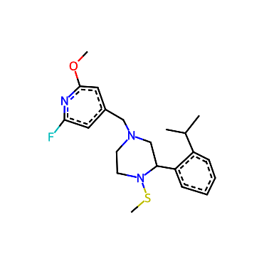 COc1cc(CN2CCN(SC)C(c3ccccc3C(C)C)C2)cc(F)n1